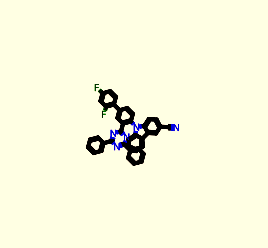 N#Cc1ccc2c(c1)c1ccccc1n2-c1ccc(-c2ccc(F)cc2F)cc1-c1nc(-c2ccccc2)nc(-c2ccccc2)n1